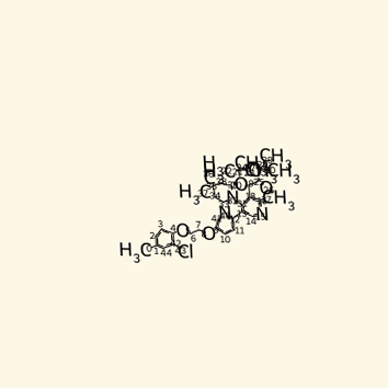 Cc1ccc(OCCOc2ccc(-c3cnc(C)c([C@H](OC(C)(C)C)C(=O)OC(C)C)c3N3CCC(C)(C)CC3)nc2)c(Cl)c1